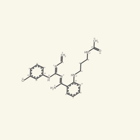 C=C/N=C(\N=C(/N)c1cccnc1NCCCNC(C)=O)Nc1cccc(Cl)c1